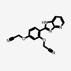 N#CCOc1ccc(-c2nc3ncccc3[nH]2)c(OCC#N)c1